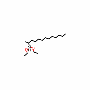 CCCCCCCCCCCC(C)[SiH](OCC)OCC